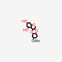 COc1ccc(Oc2coc3cc(O)cc(O)c3c2=O)cc1